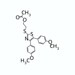 COc1ccc(-c2nc(SCCOC(C)=O)sc2-c2ccc(OC)cc2)cc1